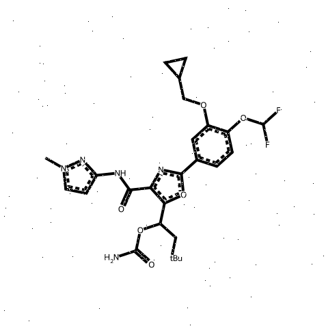 Cn1ccc(NC(=O)c2nc(-c3ccc(OC(F)F)c(OCC4CC4)c3)oc2C(CC(C)(C)C)OC(N)=O)n1